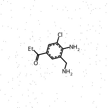 CCC(=O)c1cc(Cl)c(N)c(CN)c1